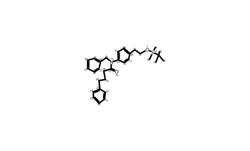 CC(C)(C)[Si](C)(C)OCCc1ccc(N(Cc2ccccc2)C(=O)CCCc2ccccc2)cc1